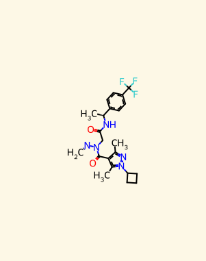 C=NN(CC(=O)N[C@@H](C)c1ccc(C(F)(F)F)cc1)C(=O)c1c(C)nn(C2CCC2)c1C